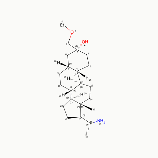 CCOC[C@@]1(O)CC[C@H]2[C@H](CC[C@@H]3[C@@H]2CC[C@]2(C)[C@@H]([C@@H](C)N)CC[C@@H]32)C1